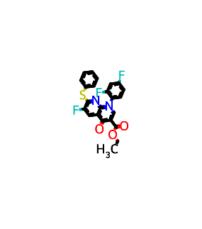 CCOC(=O)c1cn(-c2ccc(F)cc2F)c2nc(Sc3ccccc3)c(F)cc2c1=O